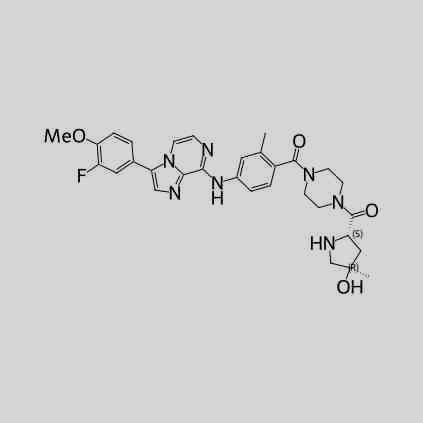 COc1ccc(-c2cnc3c(Nc4ccc(C(=O)N5CCN(C(=O)[C@@H]6C[C@@](C)(O)CN6)CC5)c(C)c4)nccn23)cc1F